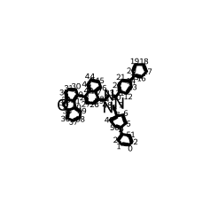 c1ccc(-c2ccc(-c3nc(-c4ccc(-c5ccccc5)cc4)nc(-c4ccc(-c5cccc6oc7ccccc7c56)c5ccccc45)n3)cc2)cc1